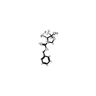 CC(C)[C@@H]1N(C(=O)OCc2ccccc2)CO[C@]1(O)C(F)(F)F